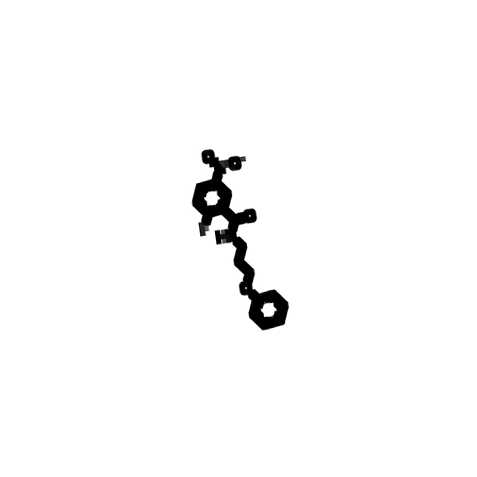 O=C(NCCCOc1ccccc1)c1cc([N+](=O)[O-])ccc1F